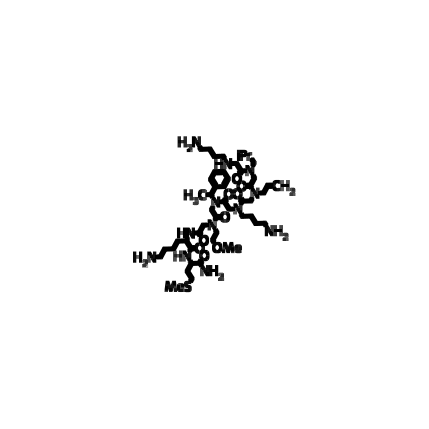 C=CCN(CC(=O)N(CCCCN)CC(=O)N(CC(=O)N(CCOC)CC(=O)NC(CCCCN)C(=O)NC(CCSC)C(N)=O)C(C)c1ccccc1)C(=O)CN(CC(C)C)C(=O)CNCCCCN